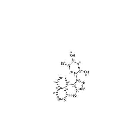 CCN1C=C(n2nnc(S)c2-c2cccc3ccccc23)C(O)=CC1O